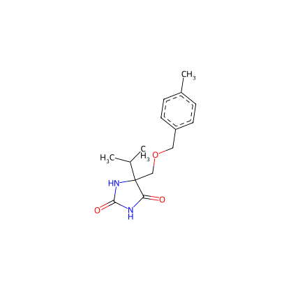 Cc1ccc(COCC2(C(C)C)NC(=O)NC2=O)cc1